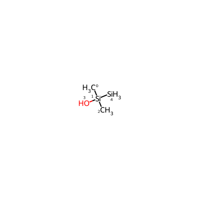 C[Si](C)(O)[SiH3]